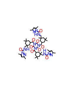 Cc1cc(C)n(C(=O)NCC2(C)CC(C(=O)n3c(=O)n(C(=O)C4CC(C)(C)CC(C)(CNC(=O)n5nc(C)cc5C)C4)c(=O)n(C(=O)C4CC(C)(C)CC(C)(CNC(=O)n5nc(C)cc5C)C4)c3=O)CC(C)(C)C2)n1